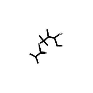 CCC(O)C(C)C(C)(C)OC(=O)C(C)C